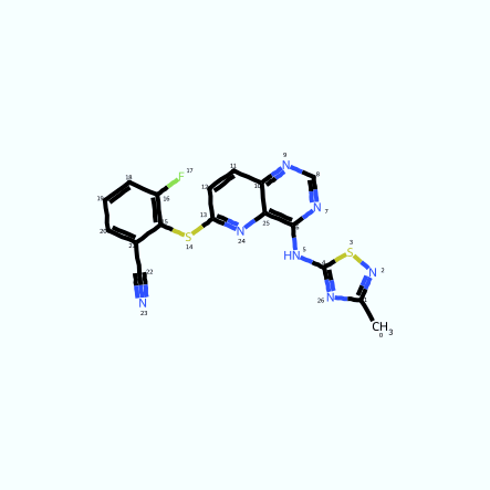 Cc1nsc(Nc2ncnc3ccc(Sc4c(F)cccc4C#N)nc23)n1